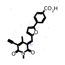 C#CC1=C(C)/C(=C\c2ccc(-c3ccc(C(=O)O)cc3)o2)C(=O)N(C)C1=O